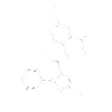 Cc1cc(Cl)cc(C(N)=O)c1NC(=O)c1cc(Br)nn1-c1ncccc1Cl